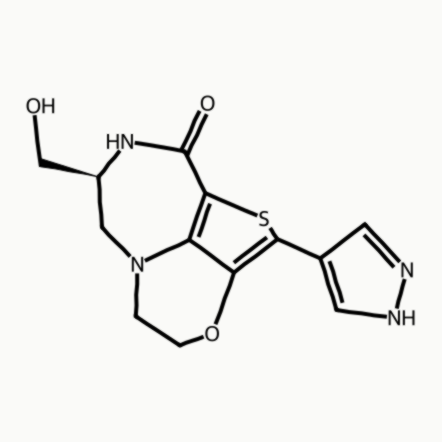 O=C1N[C@H](CO)CN2CCOc3c(-c4cn[nH]c4)sc1c32